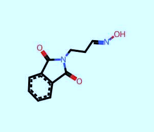 O=C1c2ccccc2C(=O)N1CCC=NO